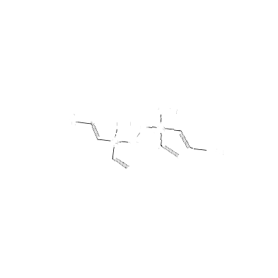 C=C[Si](C=CC(C)(C)C)(OO[Si](C=C)(C=CC(C)(C)C)C(C)(C)C)C(C)(C)C